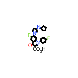 O=C(O)c1cn(-c2ccc(F)cc2)c2cc(N3CCC(N=C4CCCC4)C3)c(F)cc2c1=O